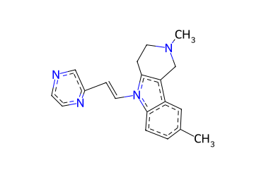 Cc1ccc2c(c1)c1c(n2/C=C/c2cnccn2)CCN(C)C1